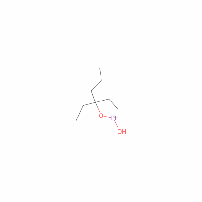 CCCC(CC)(CC)OPO